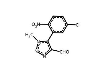 Cn1nnc(C=O)c1-c1cc(Cl)ccc1[N+](=O)[O-]